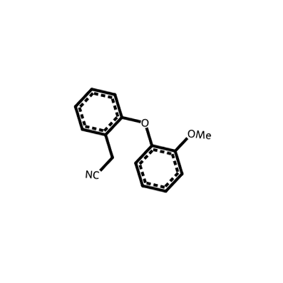 COc1ccccc1Oc1ccccc1CC#N